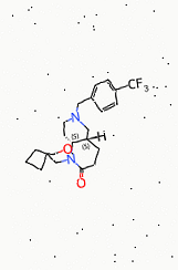 O=C1CC[C@H]2CN(Cc3ccc(C(F)(F)F)cc3)CC[C@]23OCC2(CCC2)CN13